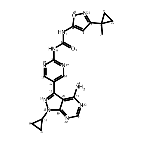 CC1(c2cc(NC(=O)Nc3ncc(-c4nn(C5CC5)c5ncnc(N)c45)cn3)on2)CC1